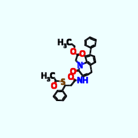 CCOC(=O)CN1C(=O)C(NC(=O)CC(SC(C)=O)c2ccccc2)=CCc2ccc(-c3ccccc3)cc21